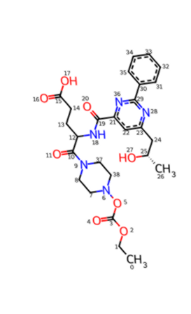 CCOC(=O)ON1CCN(C(=O)C(CCC(=O)O)NC(=O)c2cc(C[C@H](C)O)nc(-c3ccccc3)n2)CC1